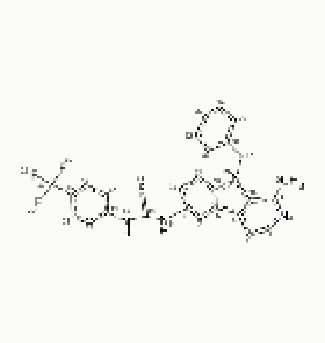 Cc1nccc2c3cc(NC(=S)Nc4ccc(C(F)(F)F)cc4)ccc3n(Cc3ccccc3)c12